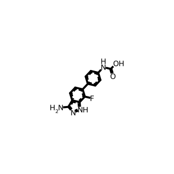 Nc1n[nH]c2c(F)c(-c3ccc(NC(=O)O)cc3)ccc12